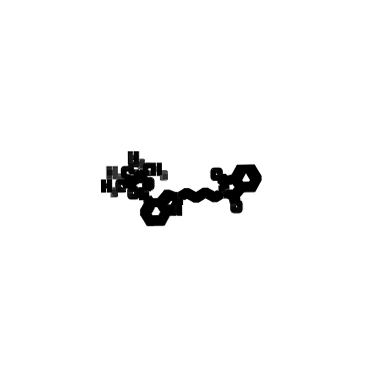 CC1(C)OB(c2cccc3nn(CCCCN4C(=O)c5ccccc5C4=O)cc23)OC1(C)C